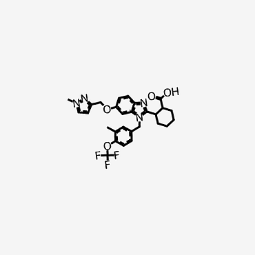 Cc1cc(Cn2c(C3CCCCC3C(=O)O)nc3ccc(OCc4ccn(C)n4)cc32)ccc1OC(F)(F)F